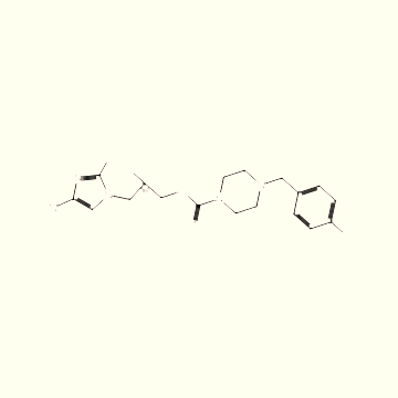 C[C@](O)(COC(=O)N1CCN(Cc2ccc(C(F)(F)F)cc2)CC1)Cn1cc([N+](=O)[O-])nc1Cl